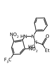 CCC(=O)N(O)N(Nc1c([N+](=O)[O-])cc(C(F)(F)F)cc1[N+](=O)[O-])c1ccccc1